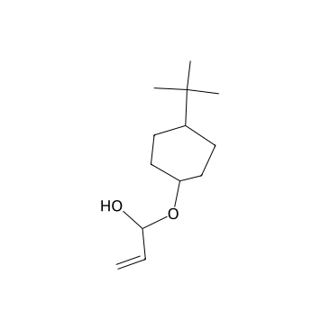 C=CC(O)OC1CCC(C(C)(C)C)CC1